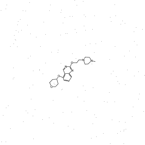 CN1CCN(CCOc2ncc3c(OC4CCOCC4)cccc3n2)CC1